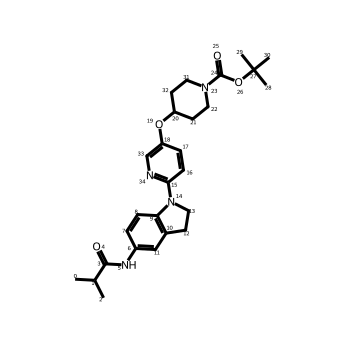 CC(C)C(=O)Nc1ccc2c(c1)CCN2c1ccc(OC2CCN(C(=O)OC(C)(C)C)CC2)cn1